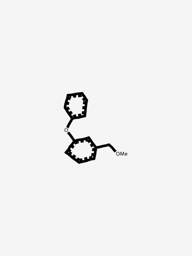 COCc1cccc(Oc2ccccc2)c1